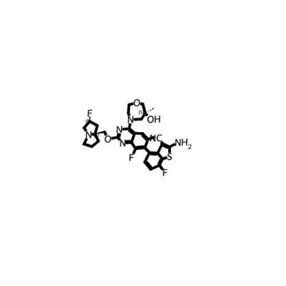 Cc1cc2c(N3CCOC[C@@](C)(O)C3)nc(OC[C@@]34CCCN3C[C@H](F)C4)nc2c(F)c1-c1ccc(F)c2sc(N)c(C#N)c12